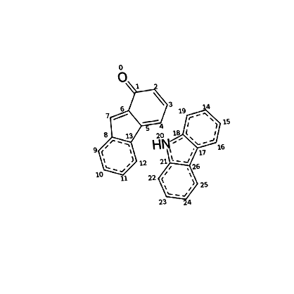 O=C1C=CC=C2C1=Cc1ccccc12.c1ccc2c(c1)[nH]c1ccccc12